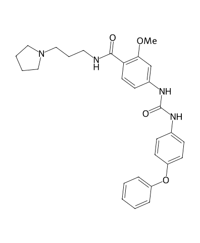 COc1cc(NC(=O)Nc2ccc(Oc3ccccc3)cc2)ccc1C(=O)NCCCN1CCCC1